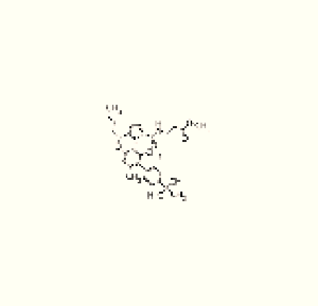 CCCCC(Oc1cc(C)c(-c2ccc(C(C)(C)C)cc2)c(C)c1)c1ccc(C(=O)NCCC(=O)OC)s1